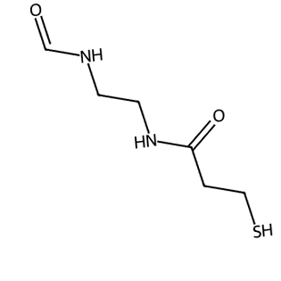 O=CNCCNC(=O)CCS